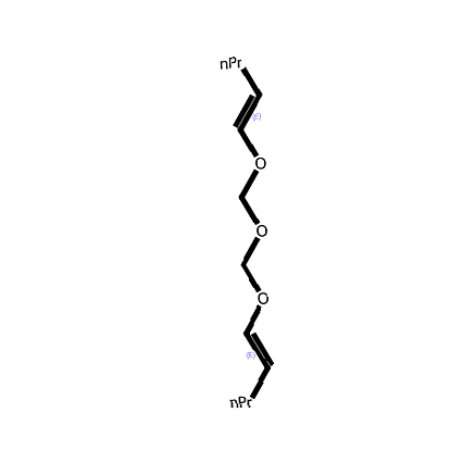 CCC/C=C/OCOCO/C=C/CCC